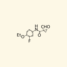 CCOc1ccc(NC(=O)C2(C=O)CC2)cc1F